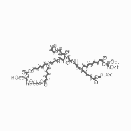 CCCCCCCCCCCOC(=O)CCCCCN(CCCCCCCC(=O)OC(CCCCCCCC)CCCCCCCC)CCCNC(=O)CN(CC(=O)NCCCN(CCCCCCCC(=O)OC(CCCCCCCC)CCCCCCCC)CCCCCC(=O)OCCCCCCCCCCC)C(=O)CCN1CCCC1